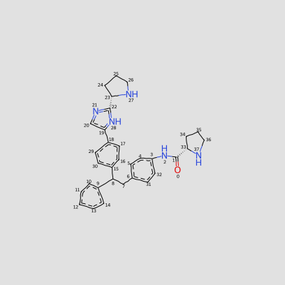 O=C(Nc1ccc(CC(c2ccccc2)c2ccc(-c3cnc([C@@H]4CCCN4)[nH]3)cc2)cc1)[C@@H]1CCCN1